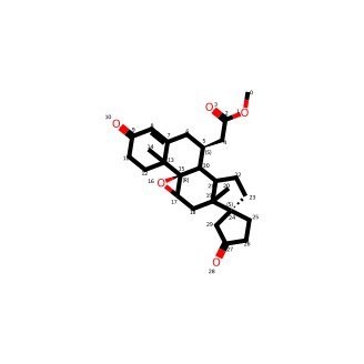 COC(=O)C[C@@H]1CC2=CC(=O)CCC2(C)[C@@]23OC2CC2(C)C(CC[C@@]24CCC(=O)C4)C13